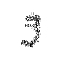 Cc1c(OC2CC3(CCN(CC(=O)Nc4ccc5c(C6CCC(=O)NC6=O)nn(C)c5n4)CC3)C2)cccc1-c1ccc(N2CCc3ccnc(C(=O)Nc4nc5ccccc5s4)c3C2)nc1C(=O)O